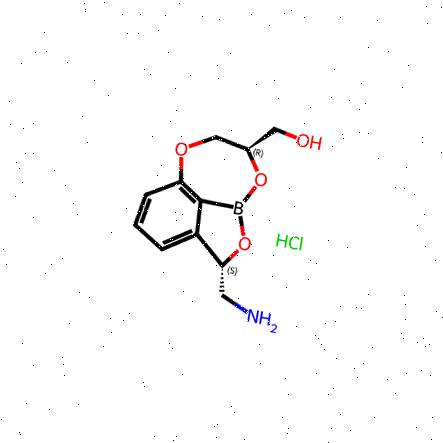 Cl.NC[C@H]1OB2O[C@H](CO)COc3cccc1c32